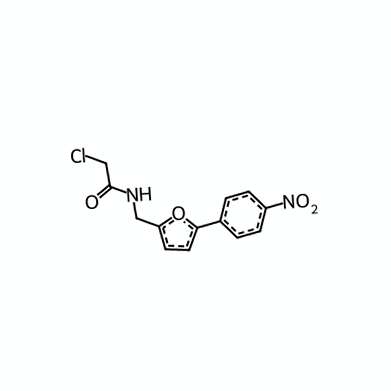 O=C(CCl)NCc1ccc(-c2ccc([N+](=O)[O-])cc2)o1